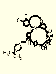 CC(C)N1CCN(CCO[C@H]2C3=C[C@@H](C3)[C@H](C)[C@@H](C)S(=O)(=O)NC(=O)c3ccc4c(c3)N(Cc3ccc(Cl)c(F)c3CCCCO4)C[C@@H]3CC[C@H]32)CC1